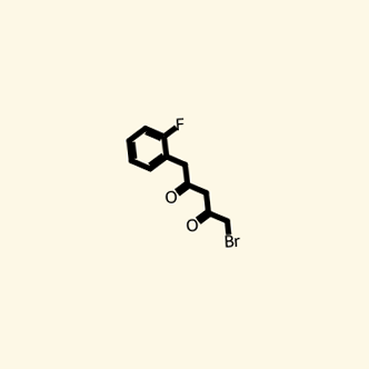 O=C(CBr)CC(=O)Cc1ccccc1F